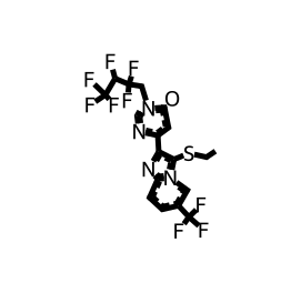 CCSc1c(-c2cc(=O)n(CC(F)(F)C(F)C(F)(F)F)cn2)nc2ccc(C(F)(F)F)cn12